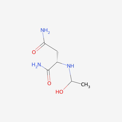 CC(O)N[C@@H](CC(N)=O)C(N)=O